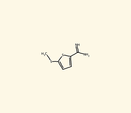 CSc1ccc(C(=N)N)s1